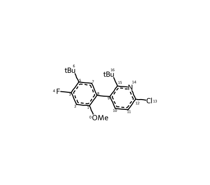 COc1cc(F)c(C(C)(C)C)cc1-c1ccc(Cl)nc1C(C)(C)C